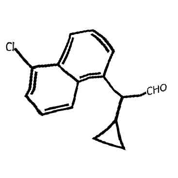 O=CC(c1cccc2c(Cl)cccc12)C1CC1